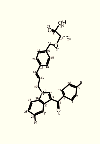 Cc1ccc(C(=O)c2cn(C/C=C/c3ccc(CO[C@@H](C)C(=O)O)cc3)c3ccc(C)cc23)cc1